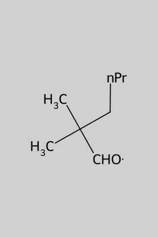 CCCCC(C)(C)[C]=O